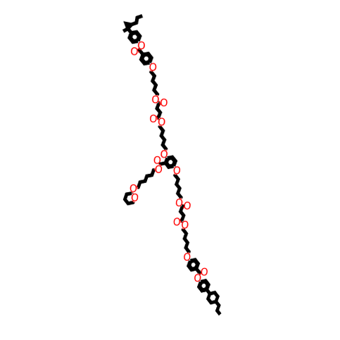 CCCC1CCC(c2ccc(OC(=O)c3ccc(OCCCCCCOC(=O)CCC(=O)OCCCCCCOc4ccc(OCCCCCCOC(=O)CCC(=O)OCCCCCCOc5ccc(C(=O)Oc6ccc(C7(C)CC7CCC)cc6)cc5)c(C(=O)OCCCCCCOC5CCCCO5)c4)cc3)cc2)CC1